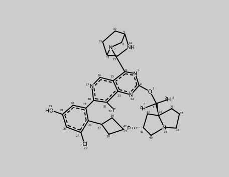 [2H]C([2H])(Oc1nc(N2CC3CCC2CN3)c2cnc(-c3cc(O)cc(Cl)c3C3CCC3)c(F)c2n1)[C@@]12CCCN1C[C@H](F)C2